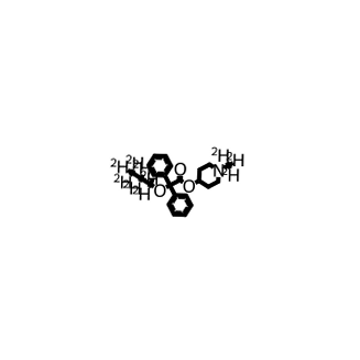 [2H]C([2H])([2H])N1CCC(OC(=O)C(OC([2H])([2H])C([2H])([2H])C([2H])([2H])[2H])(c2ccccc2)c2ccccc2)CC1